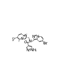 Cc1c(C2CC2)ccc2nc(CN(Cc3ncn4ccc(Br)cc34)C(=O)c3cn[nH]c3)cn12